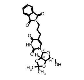 CC1(C)OC2[C@@H](CO)O[C@@H](n3cc(CCCN4C(=O)c5ccccc5C4=O)c(=O)[nH]c3=O)[C@H]2O1